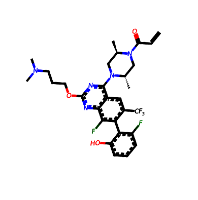 C=CC(=O)N1C[C@H](C)N(c2nc(OCCCN(C)C)nc3c(F)c(-c4c(O)cccc4F)c(C(F)(F)F)cc23)C[C@H]1C